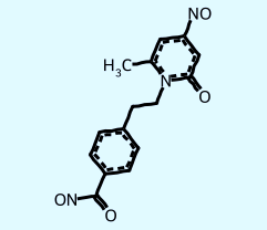 Cc1cc(N=O)cc(=O)n1CCc1ccc(C(=O)N=O)cc1